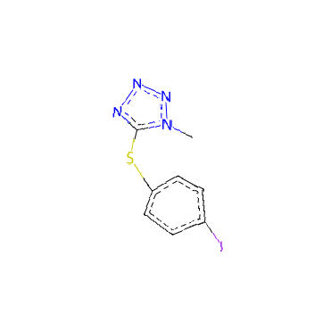 Cn1nnnc1Sc1ccc(I)cc1